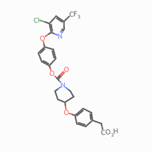 O=C(O)Cc1ccc(OC2CCN(C(=O)Oc3ccc(Oc4ncc(C(F)(F)F)cc4Cl)cc3)CC2)cc1